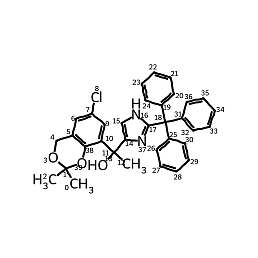 CC1(C)OCc2cc(Cl)cc(C(C)(O)c3c[nH]c(C(c4ccccc4)(c4ccccc4)c4ccccc4)n3)c2O1